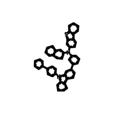 c1ccc(-c2ccc(-n3c4ccccc4c4ccc(-c5cccc(N(c6ccc7ccccc7c6)c6ccc7c(c6)sc6ccccc67)c5)cc43)cc2)cc1